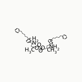 C[C@@H](COC(=O)C(=O)OC[C@H](C)CC(N)c1ccc(CCCCCc2ccccc2)s1)CC(N)c1ccc(CCCCCc2ccccc2)s1